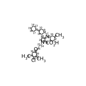 Cc1cccc(N(Cc2ccc(-c3ccccc3)cc2)c2ccn(CCCOc3cc(C)c(Cl)c(C)c3)c2C(=O)O)c1